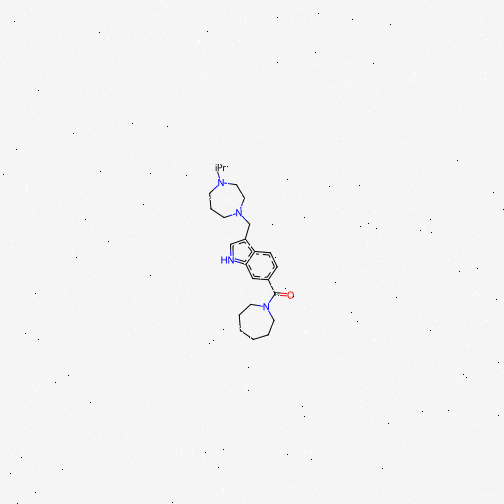 CC(C)N1CCCN(Cc2c[nH]c3cc(C(=O)N4CCCCCC4)ccc23)CC1